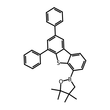 CC1(C)CB(c2cccc3c2sc2c(-c4ccccc4)cc(-c4ccccc4)cc23)OC1(C)C